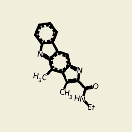 CCNC(=O)C1=C(C)c2c(C)c3c(cc2=N1)-c1ccccc1N=3